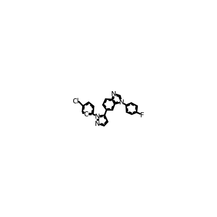 Fc1ccc(-n2cnc3ccc(-c4ccnn4-c4ccc(Cl)cc4)cc32)cc1